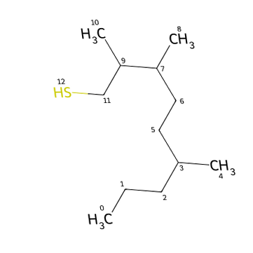 CCCC(C)CCC(C)C(C)CS